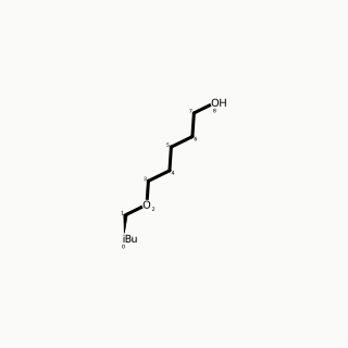 CC[C@H](C)COCCCCCO